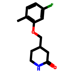 Cc1ccc(F)cc1OCC1CCNC(=O)C1